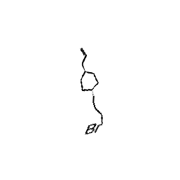 C=CC[C@H]1CC[C@H](CCCBr)CC1